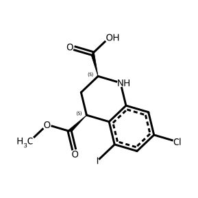 COC(=O)[C@H]1C[C@@H](C(=O)O)Nc2cc(Cl)cc(I)c21